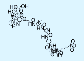 CC(C)[C@H](NC(=O)CCCCCN1C(=O)C=CC1=O)C(=O)N[C@@H](C)C(=O)Nc1ccc(NC(=O)c2cc(NC(=O)c3cc(NC(=O)CCCOc4cc5c(cc4O[C@@H]4O[C@H](CO)[C@H](O)[C@H](O)[C@H]4O)C(=O)N4CCCC[C@H]4C=N5)cn3C)cn2C)cc1